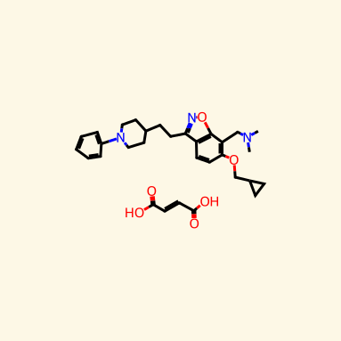 CN(C)Cc1c(OCC2CC2)ccc2c(CCC3CCN(c4ccccc4)CC3)noc12.O=C(O)C=CC(=O)O